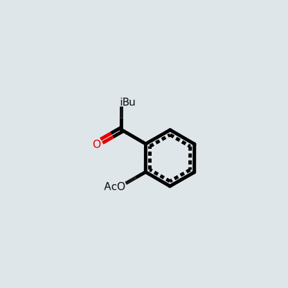 CCC(C)C(=O)c1ccccc1OC(C)=O